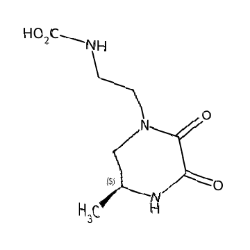 C[C@H]1CN(CCNC(=O)O)C(=O)C(=O)N1